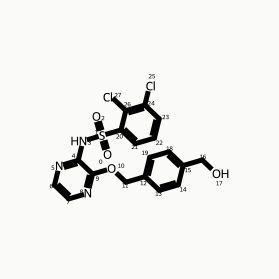 O=S(=O)(Nc1nccnc1OCc1ccc(CO)cc1)c1cccc(Cl)c1Cl